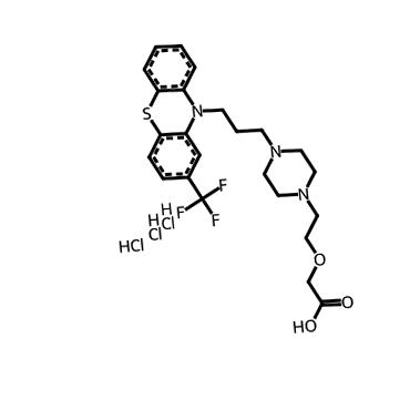 Cl.Cl.Cl.O=C(O)COCCN1CCN(CCCN2c3ccccc3Sc3ccc(C(F)(F)F)cc32)CC1